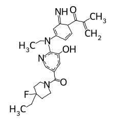 C=C(C)C(=O)C1C=CC(N(CC)c2ncc(C(=O)N3CCC(F)(CC)CC3)cc2O)=CC1=N